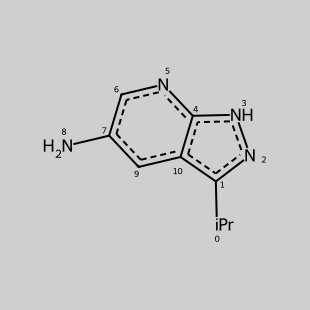 CC(C)c1n[nH]c2ncc(N)cc12